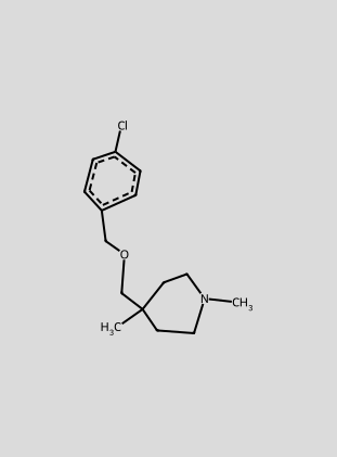 CN1CCC(C)(COCc2ccc(Cl)cc2)CC1